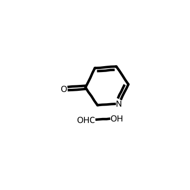 O=C1C=CC=NC1.O=CO